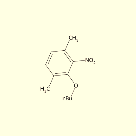 CCCCOc1c(C)ccc(C)c1[N+](=O)[O-]